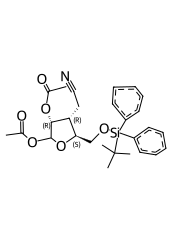 CC(=O)OC1O[C@H](CO[Si](c2ccccc2)(c2ccccc2)C(C)(C)C)[C@@H](CC#N)[C@H]1OC(C)=O